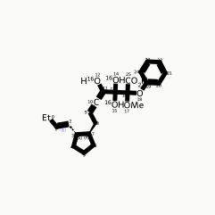 CC/C=C/[C@H]1CCC[C@@H]1CC=C=C([16OH])C([16OH])([16OH])C(OC)(Oc1ccccc1)C(=O)O